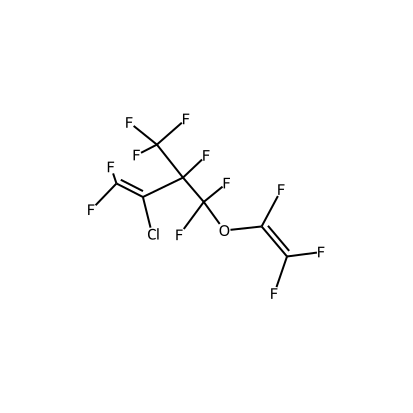 FC(F)=C(F)OC(F)(F)C(F)(C(Cl)=C(F)F)C(F)(F)F